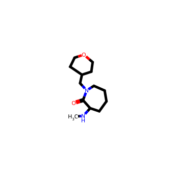 CNC1CCCCN(CC2CCOCC2)C1=O